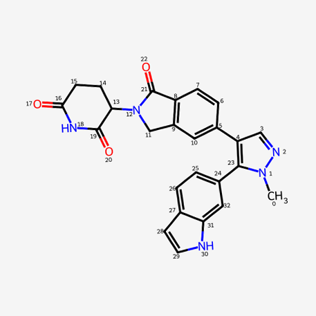 Cn1ncc(-c2ccc3c(c2)CN(C2CCC(=O)NC2=O)C3=O)c1-c1ccc2cc[nH]c2c1